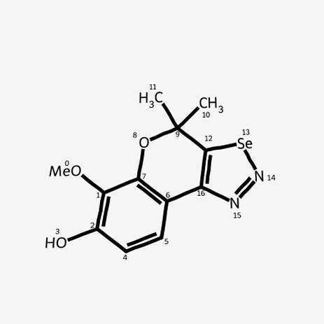 COc1c(O)ccc2c1OC(C)(C)c1[se]nnc1-2